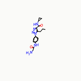 CCCc1c(C(=O)NC2CC2)nnn1-c1ccc(NC(=O)CN)cc1